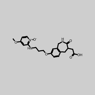 COc1cc[n+]([O-])c(NCCCOc2ccc3c(c2)CNC(=O)C(CC(=O)O)C3)c1